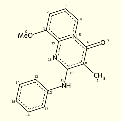 COc1cccn2c(=O)c(C)c(Nc3ccccc3)nc12